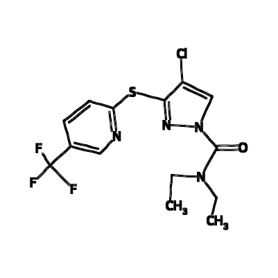 CCN(CC)C(=O)n1cc(Cl)c(Sc2ccc(C(F)(F)F)cn2)n1